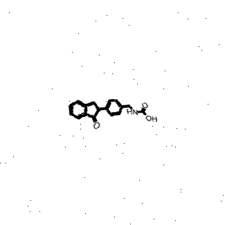 O=C(O)NCc1ccc(C2Cc3ccccc3C2=O)cc1